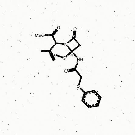 C=C(C)C(C(=O)OC)N1C(=O)C[C@]1(NC(=O)COc1ccccc1)SC(C)=O